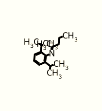 CCCC(C)=Nc1c(C(C)C)cccc1C(C)C